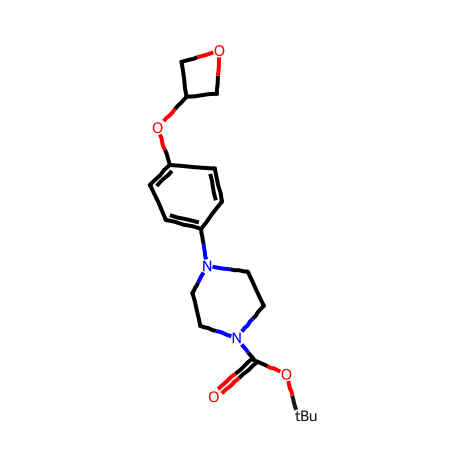 CC(C)(C)OC(=O)N1CCN(c2ccc(OC3COC3)cc2)CC1